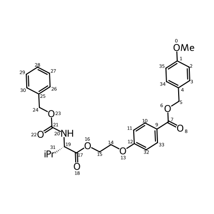 COc1ccc(COC(=O)c2ccc(OCCOC(=O)[C@@H](NC(=O)OCc3ccccc3)C(C)C)cc2)cc1